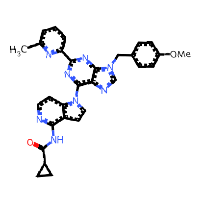 COc1ccc(Cn2cnc3c(-n4ccc5c(NC(=O)C6CC6)nccc54)nc(-c4cccc(C)n4)nc32)cc1